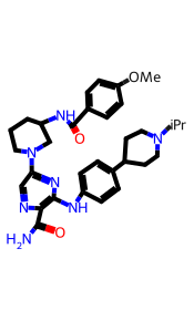 COc1ccc(C(=O)NC2CCCN(c3cnc(C(N)=O)c(Nc4ccc(C5CCN(C(C)C)CC5)cc4)n3)C2)cc1